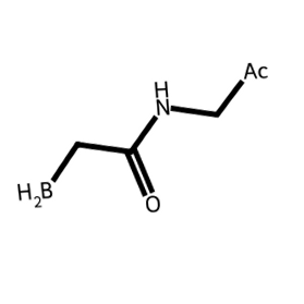 BCC(=O)NCC(C)=O